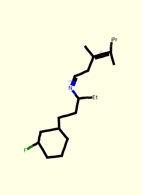 CCC(CCC1CCCC(F)C1)/N=C\C/C(C)=C(\C)C(C)C